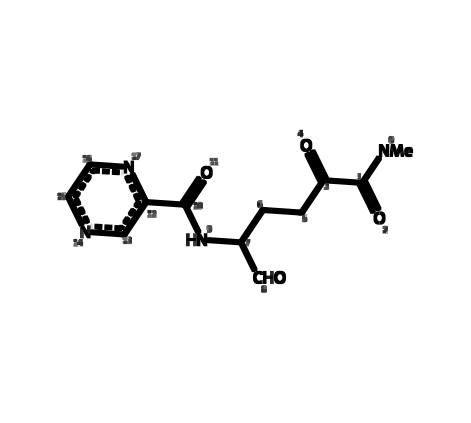 CNC(=O)C(=O)CCC(C=O)NC(=O)c1cnccn1